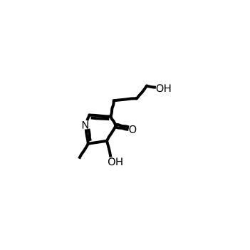 CC1=NC=C(CCCO)C(=O)C1O